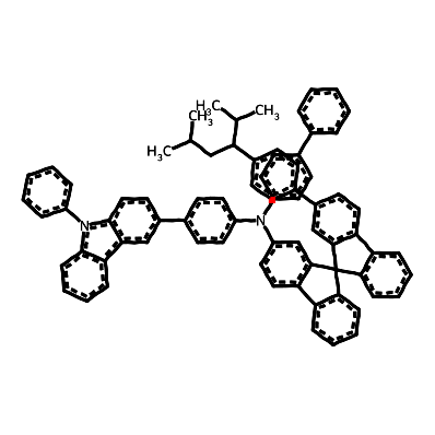 CC(C)CC(c1ccc(-c2ccc3c(c2)C2(c4ccccc4-3)c3ccccc3-c3ccc(N(c4ccc(-c5ccccc5)cc4)c4ccc(-c5ccc6c(c5)c5ccccc5n6-c5ccccc5)cc4)cc32)cc1)C(C)C